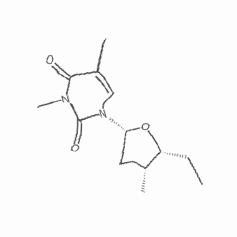 CC[C@H]1O[C@@H](n2cc(C)c(=O)n(C)c2=O)C[C@H]1C